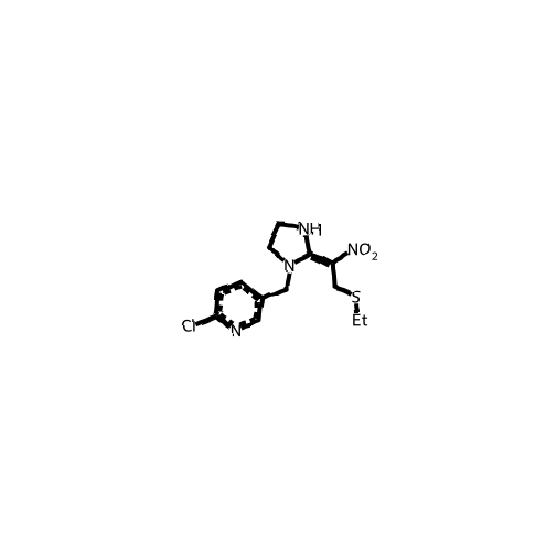 CCSCC(=C1NCCN1Cc1ccc(Cl)nc1)[N+](=O)[O-]